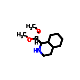 CO[SiH](OC)C1NCCC2CCCCC21